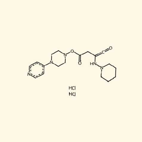 Cl.Cl.O=C=C(CC(=O)ON1CCN(c2ccncc2)CC1)NN1CCCCC1